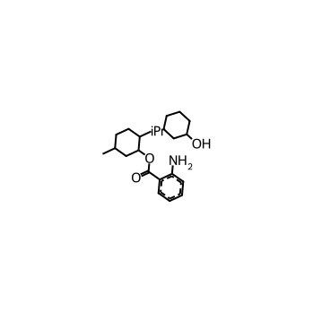 CC1CCC(C(C)C)C(OC(=O)c2ccccc2N)C1.OC1CCCCC1